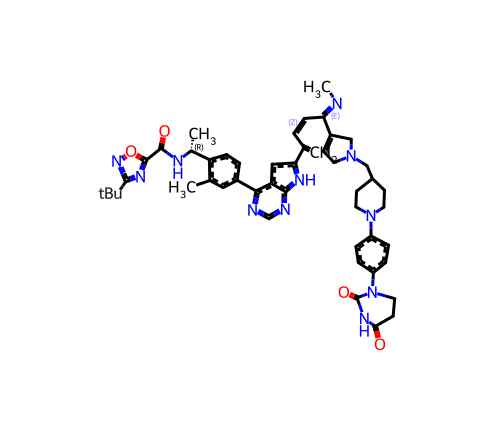 C=C(/C=C\C(=N/C)C1=CCN(CC2CCN(c3ccc(N4CCC(=O)NC4=O)cc3)CC2)C1)c1cc2c(-c3ccc([C@@H](C)NC(=O)c4nc(C(C)(C)C)no4)c(C)c3)ncnc2[nH]1